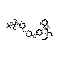 C=C/C(=N\C=C/C)c1nc2cccnc2n1-c1ccc(OC2CCN(Cc3ccnc(N(CC)C(=O)OC(C)(C)C)c3)CC2)cc1